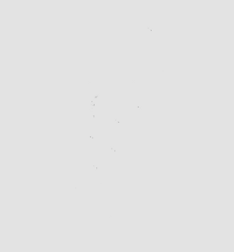 N#Cc1ccc2c(c1)c1ccccc1n2-c1ccccc1-c1nc(-c2ccccc2)nc(-n2c3ccccc3c3ccccc32)n1